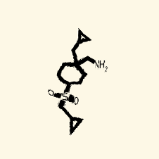 NCC1(CC2CC2)CCC(S(=O)(=O)CC2CC2)CC1